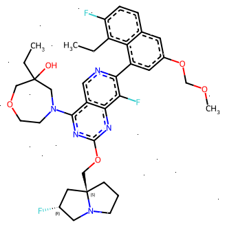 CCc1c(F)ccc2cc(OCOC)cc(-c3ncc4c(N5CCOCC(O)(CC)C5)nc(OC[C@@]56CCCN5C[C@H](F)C6)nc4c3F)c12